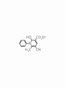 CCOC(=O)C1=CC(C#N)=C(C)N(c2ccccc2)C1O